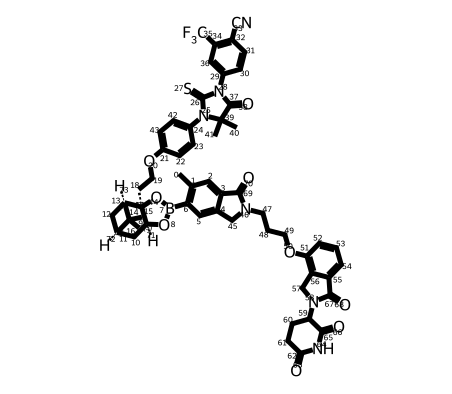 Cc1cc2c(cc1B1O[C@H]3C[C@H]4C[C@H](C4(C)C)[C@@]3(CCOc3ccc(N4C(=S)N(c5ccc(C#N)c(C(F)(F)F)c5)C(=O)C4(C)C)cc3)O1)CN(CCCOc1cccc3c1CN(C1CCC(=O)NC1=O)C3=O)C2=O